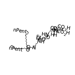 CCCCC/C=C\C/C=C\CCCCCCCCC1(CCCCCCCC/C=C\C/C=C\CCCCC)OCC(CCN(C)CCCCCNC(=O)C(C)(CC)COC(C)CC(=O)NCCCC[C@@H](NC(=O)N[C@H](CCC(=O)O)C(=O)O)C(=O)O)O1